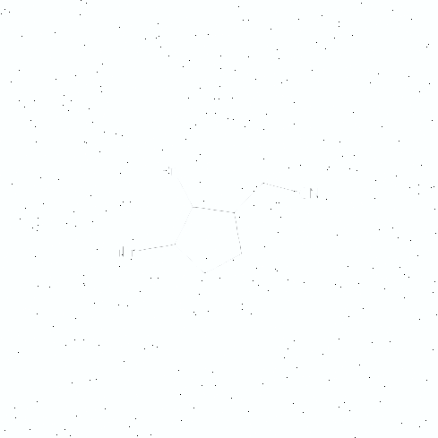 CC(C)C1CCC(CC#N)C1C(C)C